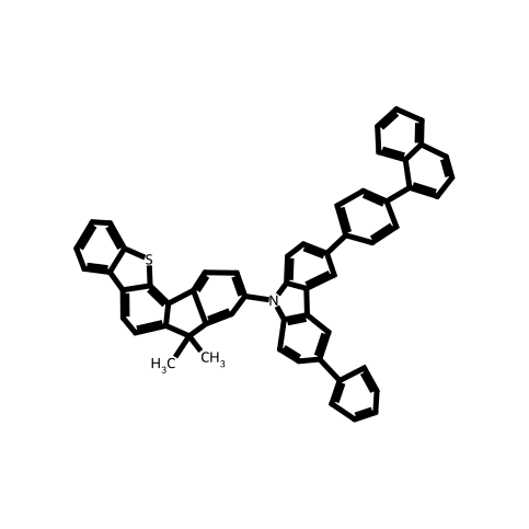 CC1(C)c2cc(-n3c4ccc(-c5ccccc5)cc4c4cc(-c5ccc(-c6cccc7ccccc67)cc5)ccc43)ccc2-c2c1ccc1c2sc2ccccc21